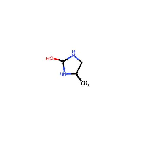 CC1CNC(O)N1